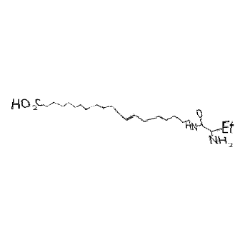 CCC(N)C(=O)NCCCCCCCCCCCCCCCCCCC(=O)O